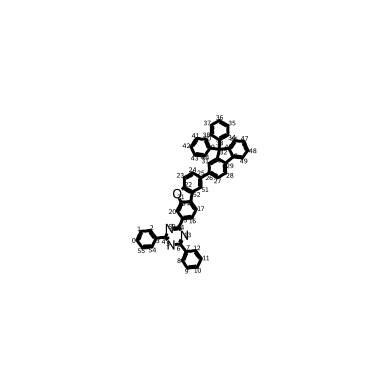 c1ccc(-c2nc(-c3ccccc3)nc(-c3ccc4c(c3)oc3ccc(-c5ccc6c(c5)C(c5ccccc5)(c5ccccc5)c5ccccc5-6)cc34)n2)cc1